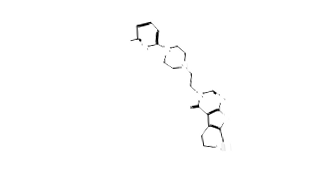 Cc1cccc(N2CCN(CCn3cnc4sc5c(c4c3=O)CCNC5)CC2)n1